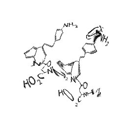 C[n+]1c(C(=O)CC(N)C(=O)O)cc(C=Cc2ccc(N)cc2)c2ccccc21.C[n+]1c(C(=O)CC(N)C(=O)O)cc(C=Cc2ccc(N)cc2)c2ccccc21.[Cl-].[Cl-]